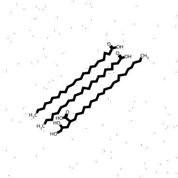 CCCCCCCCCCCCCCCCCCCCC(CC(O)CO)C(=O)O.CCCCCCCCCCCCCCCCCCCCCC(=O)O.CCCCCCCCCCCCCCCCCCCCCC(=O)O